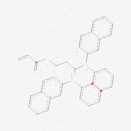 C=CC(=O)OCCC([SiH](c1ccccc1)c1ccc2ccccc2c1)[SiH](c1ccccc1)c1ccc2ccccc2c1